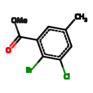 COC(=O)c1cc(C)cc(Cl)c1Br